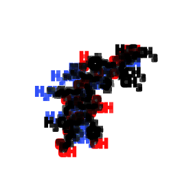 CC[C@H](C)[C@H](NC(=O)[C@H](Cc1ccc(O)cc1)NC(=O)[C@@H]1CCCN1C(=O)[C@H](CCCNC(=N)N)NC(=O)[C@@H]1CCCN1C(=O)[C@H](CCCCN)NC(=O)[C@H](CC(N)=O)NC(=O)[C@H](CCC(=O)O)NC(=O)[C@H](Cc1ccc(O)cc1)NC(=O)[C@H](CC(C)C)NC(=O)[C@@H](N)CCC(=O)O)C(=O)N[C@@H](CC(C)C)C(=O)O